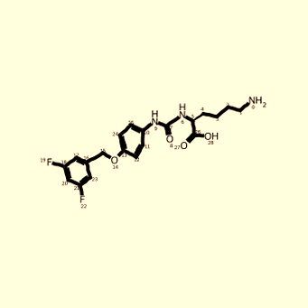 NCCCC[C@H](NC(=O)Nc1ccc(OCc2cc(F)cc(F)c2)cc1)C(=O)O